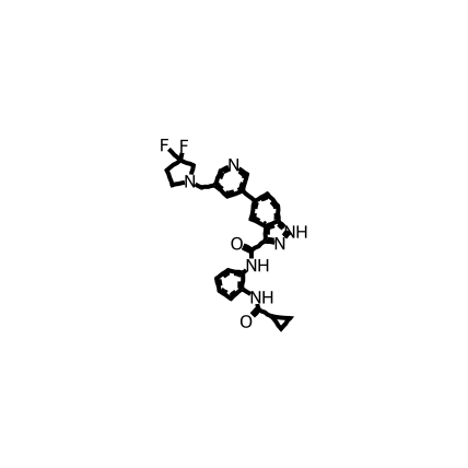 O=C(Nc1ccccc1NC(=O)C1CC1)c1n[nH]c2ccc(-c3cncc(CN4CCC(F)(F)C4)c3)cc12